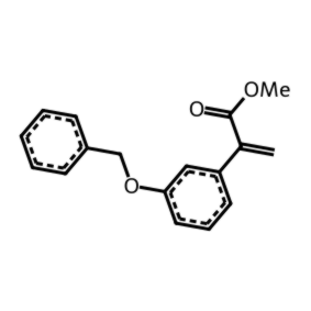 C=C(C(=O)OC)c1cccc(OCc2ccccc2)c1